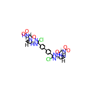 COC(=O)N[C@@H](C)C(=O)N1[C@@H]2C[C@@H]2C[C@H]1c1nc(Cl)c(-c2ccc(-c3ccc(-c4[nH]c([C@@H]5C[C@H]6C[C@H]6N5C(=O)[C@H](C)NC(=O)OC)nc4Cl)cc3)cc2)[nH]1